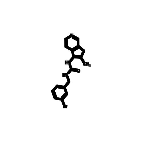 Cc1sc2cnccc2c1NC(=O)NCc1cccc(Br)c1